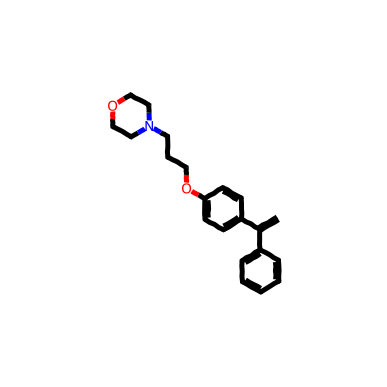 C=C(c1ccccc1)c1ccc(OCCCN2CCOCC2)cc1